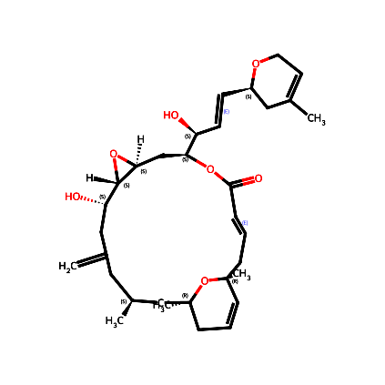 C=C1C[C@H](C)C[C@]2(C)CC=C[C@@](C)(C/C=C/C(=O)O[C@H]([C@@H](O)/C=C/[C@@H]3CC(C)=CCO3)C[C@@H]3O[C@H]3[C@@H](O)C1)O2